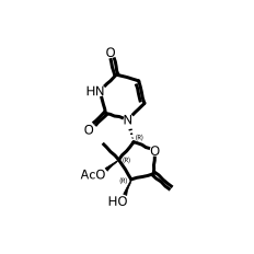 C=C1O[C@@H](n2ccc(=O)[nH]c2=O)[C@](C)(OC(C)=O)[C@@H]1O